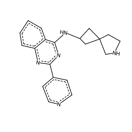 c1ccc2c(NC3CC4(CCNC4)C3)nc(-c3ccncc3)nc2c1